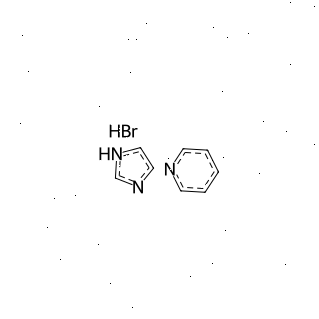 Br.c1c[nH]cn1.c1ccncc1